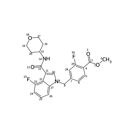 COC(=O)c1ccc(Cn2cc(C(=O)NC3CCOCC3)c3c(F)cccc32)cc1F